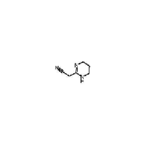 N#CCC1=NCCCN1